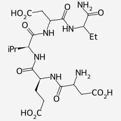 CCC(NC(=O)C(CC(=O)O)NC(=O)[C@@H](NC(=O)[C@H](CCC(=O)O)NC(=O)C(N)CC(=O)O)C(C)C)C(N)=O